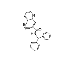 N#C/C(=C\c1ncccc1Br)C(=O)NC(c1ccccc1)c1ccccc1